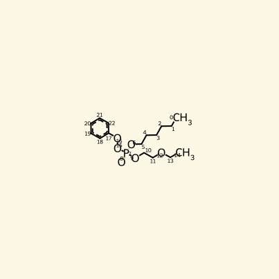 CCCCCCOP(=O)(OCCOCC)OOc1ccccc1